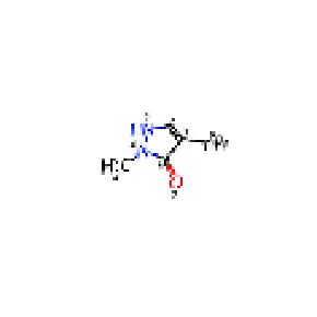 CCCc1c[nH]n(C)c1=O